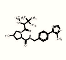 CNC(C(=O)N1C[C@H](O)CC1C(=O)NCc1ccc(-c2scnc2C)cc1)C(C)(C)C